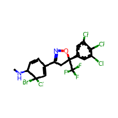 CNC1C=CC(C2=NOC(c3cc(Cl)c(Cl)c(Cl)c3)(C(F)(F)F)C2)=CC1(Cl)Br